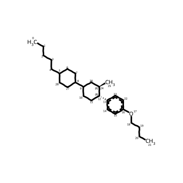 CCCCCC1CCC(C2CC[C@@H](c3ccc(OCCCC)cc3)[C@H](C)C2)CC1